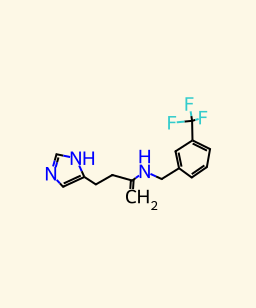 C=C(CCc1cnc[nH]1)NCc1cccc(C(F)(F)F)c1